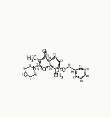 Cc1c(N2CCOCC2)oc2c(C)c(OCc3ccccc3)ccc2c1=O